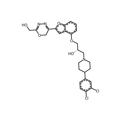 OCC1=NN=C(c2cc3c(OC[C@@H](O)CN4CCC(c5ccc(Cl)c(Cl)c5)CC4)cccc3o2)CO1